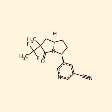 CC(F)(F)C1(C)C[C@H]2CC[C@@H](c3cncc(C#N)c3)N2C1=O